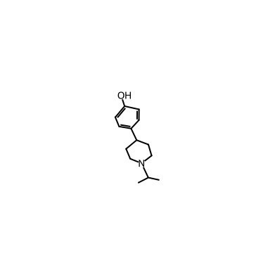 CC(C)N1CCC(c2ccc(O)cc2)CC1